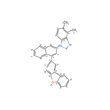 Cc1ccc2c(ncn2-c2cc(-c3ccc4oc5ccccc5c4c3)c3ccccc3c2)c1C